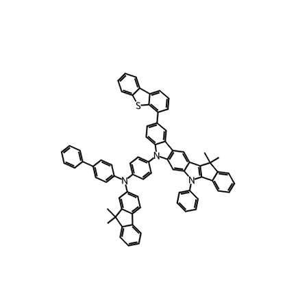 CC1(C)c2ccccc2-c2ccc(N(c3ccc(-c4ccccc4)cc3)c3ccc(-n4c5ccc(-c6cccc7c6sc6ccccc67)cc5c5cc6c7c(n(-c8ccccc8)c6cc54)-c4ccccc4C7(C)C)cc3)cc21